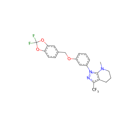 CN1CCCc2c(C(F)(F)F)nn(-c3cccc(OCc4ccc5c(c4)OC(F)(F)O5)c3)c21